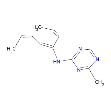 C\C=C/C=C(\C=C/C)Nc1ncnc(C)n1